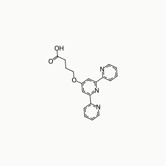 O=C(O)CCCOc1cc(-c2ccccn2)nc(-c2ccccn2)c1